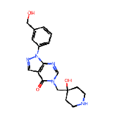 O=c1c2cnn(-c3cccc(CO)c3)c2ncn1CC1(O)CCNCC1